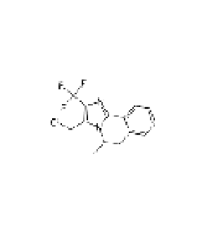 CC1Cc2ccccc2-c2nc(C(F)(F)F)c(CCl)n21